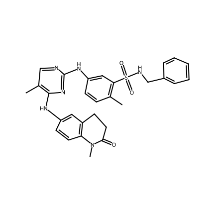 Cc1ccc(Nc2ncc(C)c(Nc3ccc4c(c3)CCC(=O)N4C)n2)cc1S(=O)(=O)NCc1ccccc1